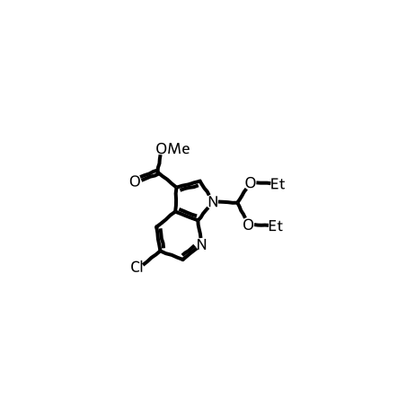 CCOC(OCC)n1cc(C(=O)OC)c2cc(Cl)cnc21